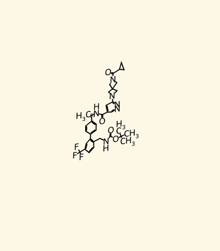 C[C@@H](NC(=O)c1cnnc(N2CC3(CN(C(=O)C4CC4)C3)C2)c1)c1ccc(-c2cc(C(F)(F)F)ccc2CNC(=O)OC(C)(C)C)cc1